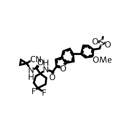 COc1cc(-c2ccc3cc(C(=O)NC4(C(=O)NC5(C#N)CC5)CCC(F)(F)CC4)oc3c2)ccc1CS(C)(=O)=O